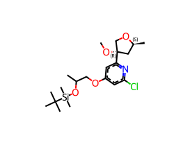 CO[C@]1(c2cc(OCC(C)O[Si](C)(C)C(C)(C)C)cc(Cl)n2)CO[C@@H](C)C1